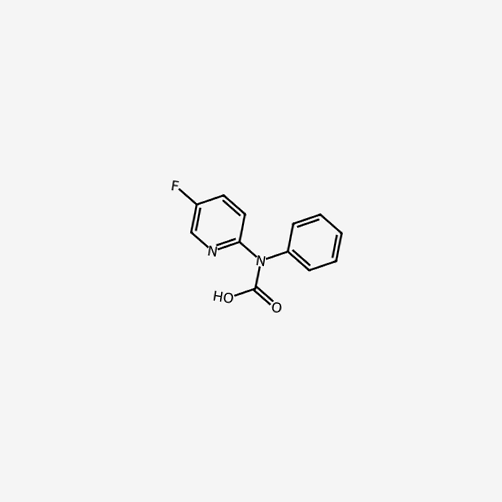 O=C(O)N(c1ccccc1)c1ccc(F)cn1